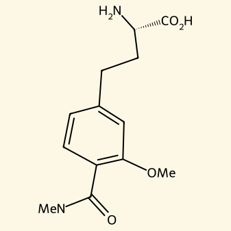 CNC(=O)c1ccc(CC[C@H](N)C(=O)O)cc1OC